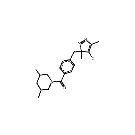 CC1=C(Cl)C(C)(Cc2ccc(C(=O)N3CC(C)CC(C)C3)cc2)N=N1